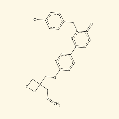 C=CCC1(COc2ccc(-c3ccc(=O)n(Cc4ccc(Cl)cc4)n3)cn2)COC1